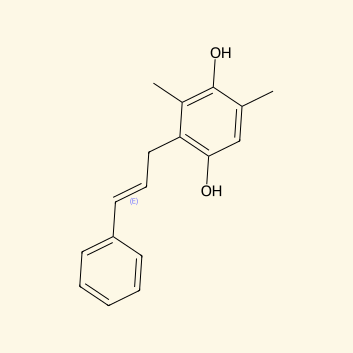 Cc1cc(O)c(C/C=C/c2ccccc2)c(C)c1O